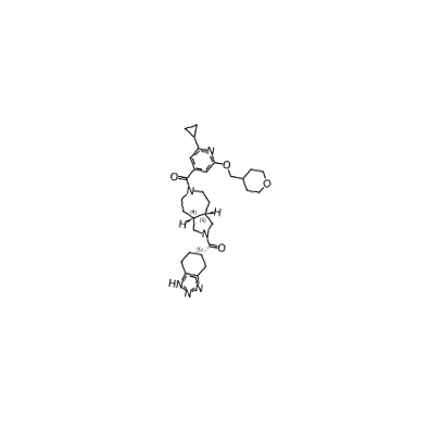 O=C(c1cc(OCC2CCOCC2)nc(C2CC2)c1)N1CC[C@@H]2CN(C(=O)[C@H]3CCc4[nH]nnc4C3)C[C@@H]2CC1